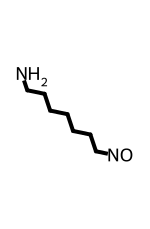 NCCCCCCCN=O